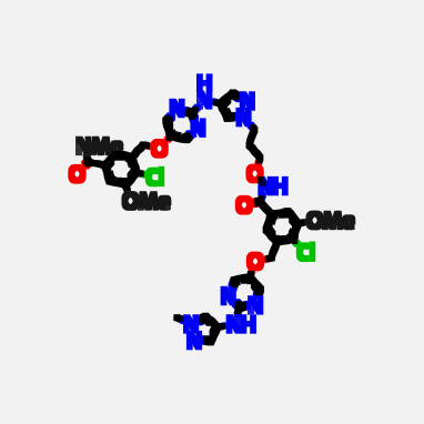 CNC(=O)c1cc(COc2cnc(Nc3cnn(CCCONC(=O)c4cc(COc5cnc(Nc6cnn(C)c6)nc5)c(Cl)c(OC)c4)c3)nc2)c(Cl)c(OC)c1